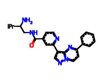 CC(C)C(N)CNC(=O)c1ccnc(-c2cnn3ccc(-c4ccccc4)nc23)c1